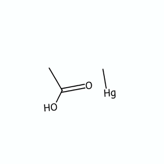 CC(=O)O.[CH3][Hg]